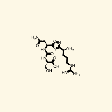 N=C(N)NCCC[C@H](N)c1noc([C@H](CC(N)=O)NC(=O)N[C@@H](CO)C(=O)O)n1